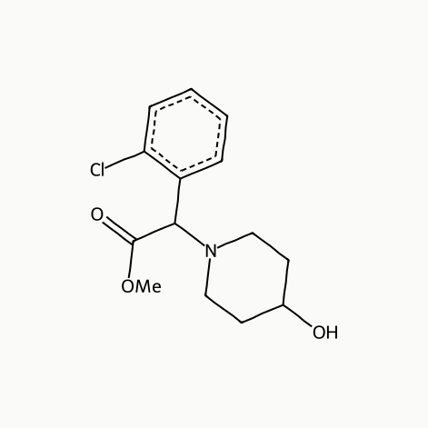 COC(=O)C(c1ccccc1Cl)N1CCC(O)CC1